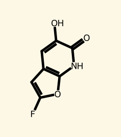 O=c1[nH]c2oc(F)cc2cc1O